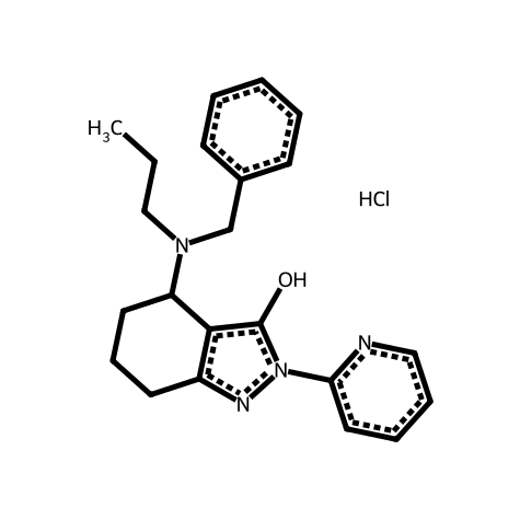 CCCN(Cc1ccccc1)C1CCCc2nn(-c3ccccn3)c(O)c21.Cl